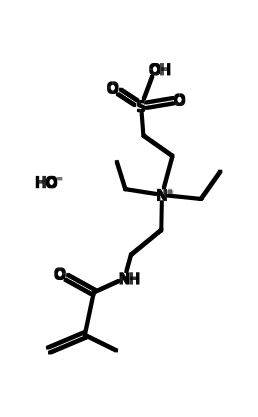 C=C(C)C(=O)NCC[N+](CC)(CC)CCS(=O)(=O)O.[OH-]